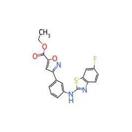 CCOC(=O)c1cc(-c2cccc(Nc3nc4ccc(F)cc4s3)c2)no1